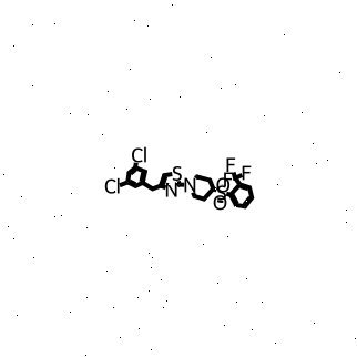 O=S(=O)(c1ccccc1C(F)(F)F)C1CCN(c2nc(Cc3cc(Cl)cc(Cl)c3)cs2)CC1